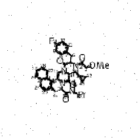 COCC(=O)N[C@H](Cc1ccc(F)cc1)C(=O)N1CCN([C@@H](Cc2ccc3ccccc3c2)C(=O)NC(C)C)C(=O)[C@@H]1CC1CC1